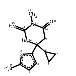 Bc1ccc(C2(C3CC3)CC(=O)N(C)C(=N)N2)s1